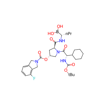 CCC[C@H](NC(=O)[C@@H]1C[C@@H](OC(=O)N2Cc3cccc(F)c3C2)CN1C(=O)[C@@H](NC(=O)OC(C)(C)C)C1CCCCC1)B(O)O